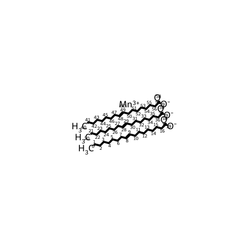 CCCCCCCCC=CCCCCCCCC(=O)[O-].CCCCCCCCC=CCCCCCCCC(=O)[O-].CCCCCCCCC=CCCCCCCCC(=O)[O-].[Mn+3]